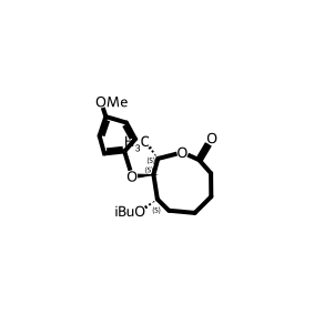 COc1ccc(O[C@H]2[C@H](C)OC(=O)CCCC[C@@H]2OCC(C)C)cc1